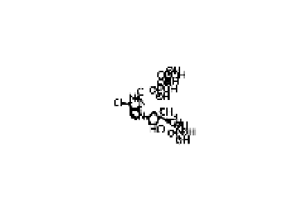 C#C[C@@]1(C)C[C@H](n2ccc3c(Cl)nc(Cl)nc32)C[C@H]1O.O=P(O)(O)O.O=P(O)(O)O.O=P(O)(O)O